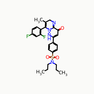 CCCN(CCC)S(=O)(=O)c1ccc(C2=CC(=O)C3=NCC(C)=C(c4ccc(F)cc4F)N3N2)cc1